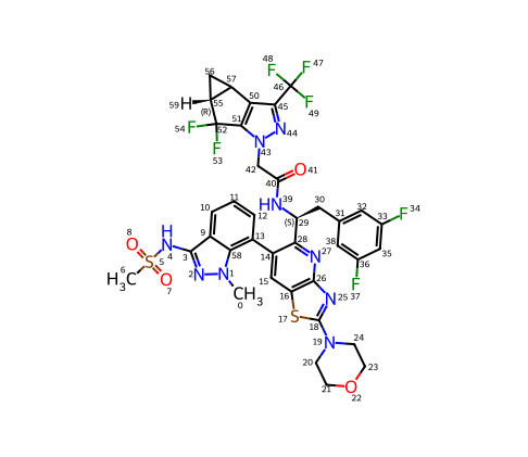 Cn1nc(NS(C)(=O)=O)c2cccc(-c3cc4sc(N5CCOCC5)nc4nc3[C@H](Cc3cc(F)cc(F)c3)NC(=O)Cn3nc(C(F)(F)F)c4c3C(F)(F)[C@@H]3CC43)c21